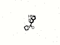 O=C(c1cnc2[nH]ccc2c1)N1CCCC1